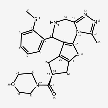 CSc1ccccc1C1NCc2nnc(C)n2-c2sc3c(c21)C[C@H](C(=O)N1CCOCC1)C3